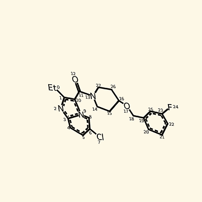 CCc1nc2ccc(Cl)cn2c1C(=O)N1CCC(OCc2cccc(F)c2)CC1